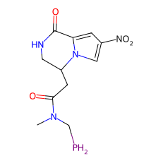 CN(CP)C(=O)CC1CNC(=O)c2cc([N+](=O)[O-])cn21